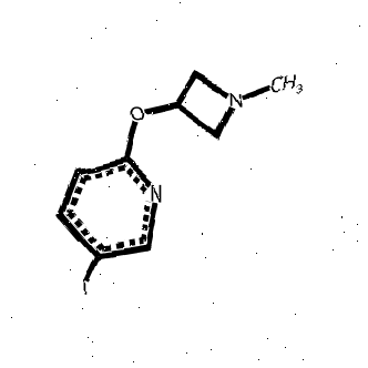 CN1CC(Oc2ccc(I)cn2)C1